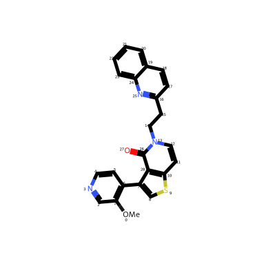 COc1cnccc1-c1csc2ccn(CCc3ccc4ccccc4n3)c(=O)c12